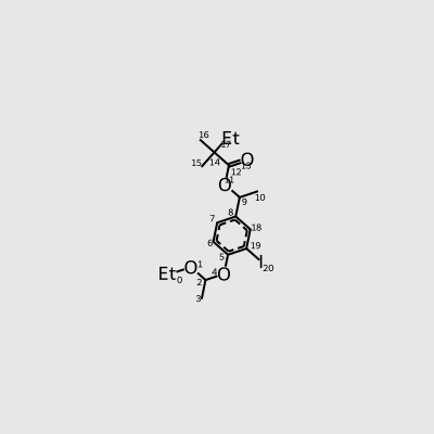 CCOC(C)Oc1ccc(C(C)OC(=O)C(C)(C)CC)cc1I